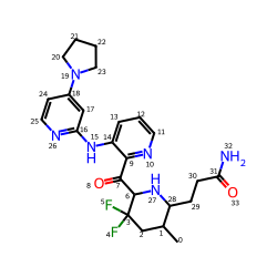 CC1CC(F)(F)C(C(=O)c2ncccc2Nc2cc(N3CCCC3)ccn2)NC1CCC(N)=O